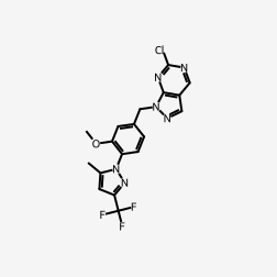 COc1cc(Cn2ncc3cnc(Cl)nc32)ccc1-n1nc(C(F)(F)F)cc1C